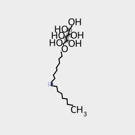 CCCCCCCC/C=C\CCCCCCCCOC(O)[C@H](O)[C@@H](O)[C@H](O)[C@H](O)CO